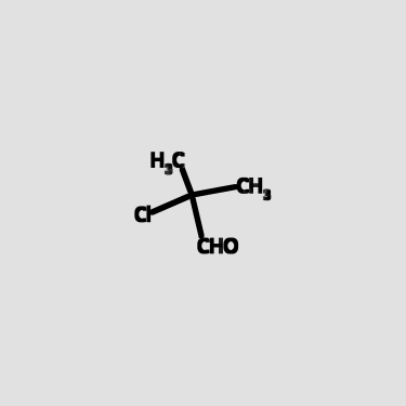 CC(C)(Cl)C=O